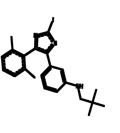 Cc1cccc(C)c1-c1nc(I)sc1C1=C=C=CC(NCC(C)(C)C)=C1